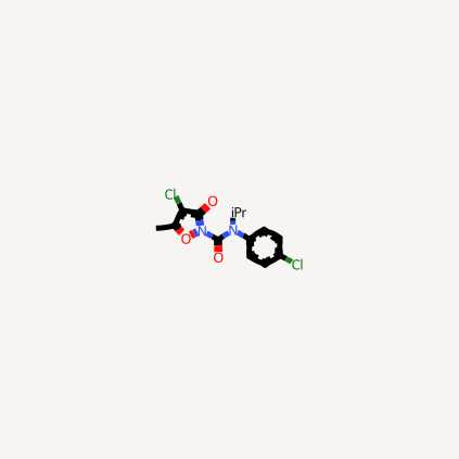 Cc1on(C(=O)N(c2ccc(Cl)cc2)C(C)C)c(=O)c1Cl